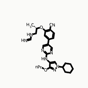 CCCOc1nn(C2CCCCC2)cc1Nc1ncc(-c2ccc(C#N)c(O[C@@H](C)CNC=N)c2)cn1